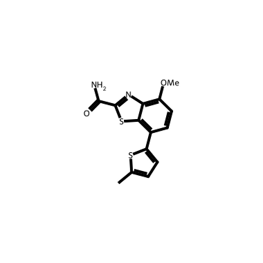 COc1ccc(-c2ccc(C)s2)c2sc(C(N)=O)nc12